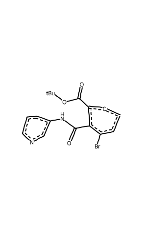 CC(C)(C)OC(=O)c1cccc(Br)c1C(=O)Nc1cccnc1